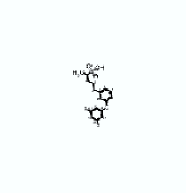 CC(CCCc1cccc(Oc2cc(F)cc(F)c2)c1)S(=O)(=O)O